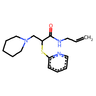 C=CCNC(=O)C(CN1CCCCC1)Sc1ccccn1